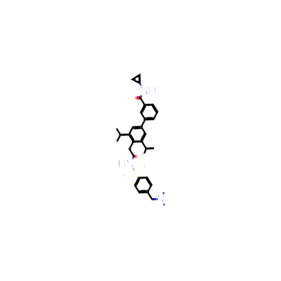 CC(C)c1cc(-c2cccc(C(=O)NC3CC3)c2)cc(C(C)C)c1CC(=O)NS(=O)(=O)c1ccc(CN(C)C)cc1